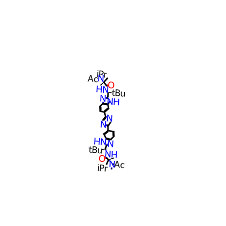 CC(=O)N(C)[C@](C)(CC(C)C)C(=O)N[C@H](c1nc2ccc(-c3cnc(-c4ccc5nc([C@@H](NC(=O)[C@@](C)(CC(C)C)N(C)C(C)=O)C(C)(C)C)[nH]c5c4)cn3)cc2[nH]1)C(C)(C)C